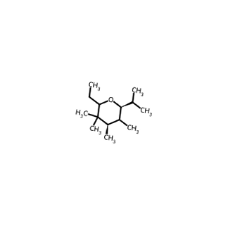 CCC1O[C@@H](C(C)C)C(C)[C@@H](C)C1(C)C